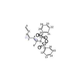 C=C/C=C\C=C(/C)C(S(=O)(=O)c1ccccc1)S(=O)(=O)c1ccccc1